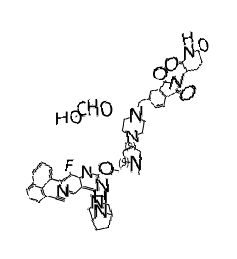 C#Cc1cccc2cccc(-c3ncc4c(N5CC6CCC(C5)N6)nc(OC[C@@H]5C[C@H](N6CCN(Cc7ccc8c(c7)C(=O)N(C7CCC(=O)NC7=O)C8=O)CC6)CN5C)nc4c3F)c12.O=CO